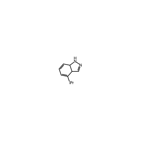 CC(C)C1=CC=CC2NN=CC12